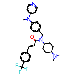 CN(c1ccncc1)c1ccc(CN(C(=O)/C=C/c2ccc(C(F)(F)F)cc2)C2CCC(N(C)C)CC2)cc1